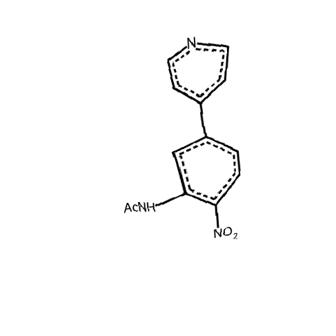 CC(=O)Nc1cc(-c2ccncc2)ccc1[N+](=O)[O-]